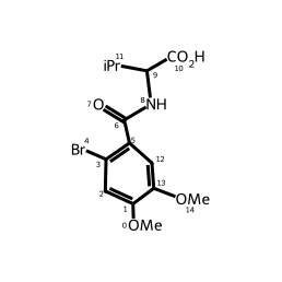 COc1cc(Br)c(C(=O)NC(C(=O)O)C(C)C)cc1OC